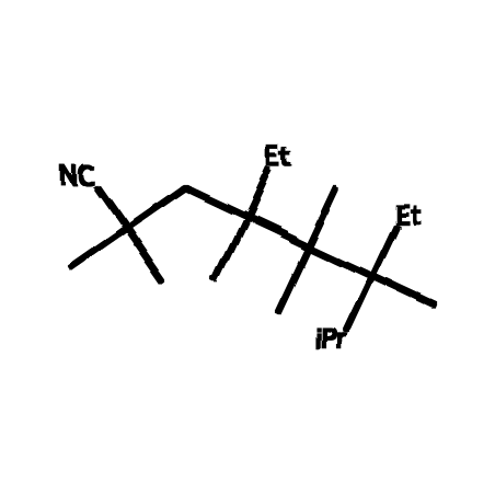 CCC(C)(CC(C)(C)C#N)C(C)(C)C(C)(CC)C(C)C